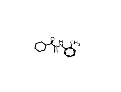 Cc1ccccc1NNC(=O)C1CCCCC1